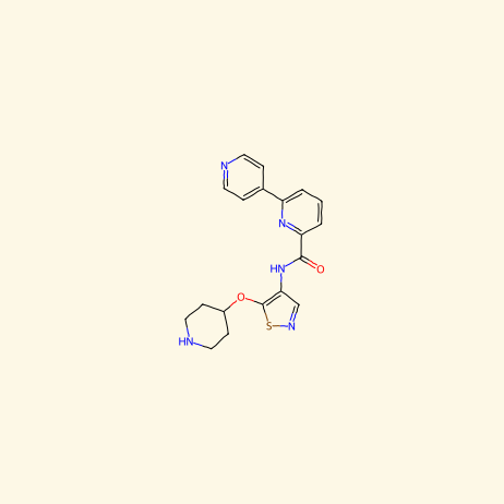 O=C(Nc1cnsc1OC1CCNCC1)c1cccc(-c2ccncc2)n1